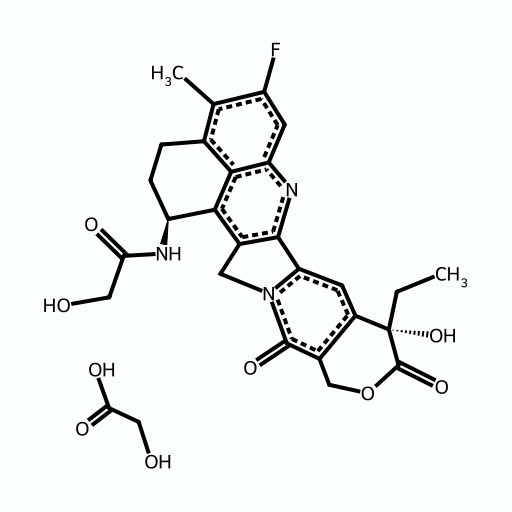 CC[C@@]1(O)C(=O)OCc2c1cc1n(c2=O)Cc2c-1nc1cc(F)c(C)c3c1c2[C@@H](NC(=O)CO)CC3.O=C(O)CO